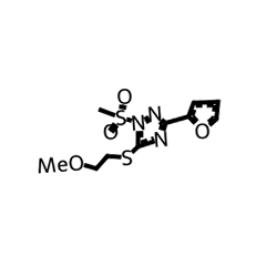 COCCSc1nc(-c2ccco2)nn1S(C)(=O)=O